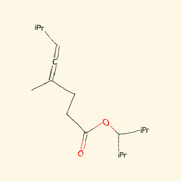 CC(=C=CC(C)C)CCC(=O)OC(C(C)C)C(C)C